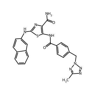 Cc1nnn(Cc2ccc(C(=O)Nc3sc(Nc4ccc5ccccc5c4)nc3C(N)=O)cc2)n1